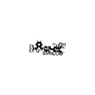 CCN(CC)C(=O)c1ccccc1Cn1c[n+]2cc(C3=C(C(=O)[O-])N4C(=O)[C@H]([C@@H](C)O)[C@H]4[C@H]3C)sc2c1SC